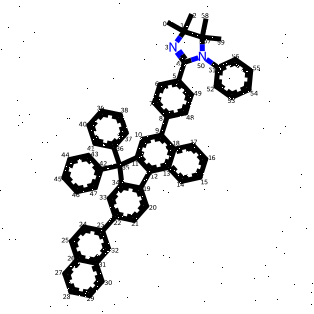 CC1(C)N=C(c2ccc(-c3cc4c(c5ccccc35)-c3ccc(-c5ccc6ccccc6c5)cc3C4(c3ccccc3)c3ccccc3)cc2)N(c2ccccc2)C1(C)C